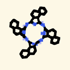 c1ccc2c3c(ccc2c1)C1=NC/3=N\c2[nH]c(c3c2ccc2ccccc23)/N=C2\NC(/N=c3\[nH]/c(c4c3ccc3ccccc34)=N\1)c1c2ccc2ccccc12